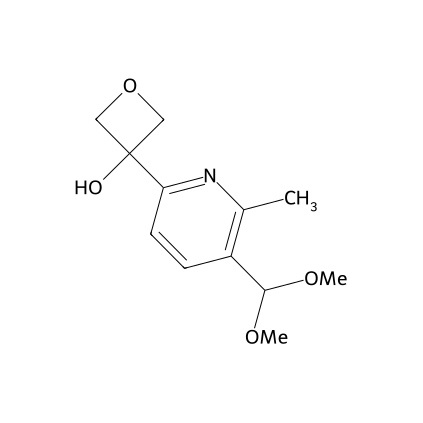 COC(OC)c1ccc(C2(O)COC2)nc1C